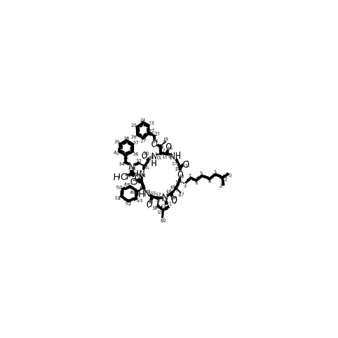 CC(C)CCCCCC[C@H]1OC(=O)CNC(=O)[C@H]([C@H](C)OCc2ccccc2)NC(=O)[C@H](CN(Cc2ccccc2)C(=O)O)NC(=O)[C@H](C2CCCCC2)NC(=O)[C@H](CC(C)C)N(C)C(=O)[C@@H]1C